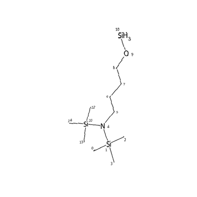 C[Si](C)(C)N(CCCCO[SiH3])[Si](C)(C)C